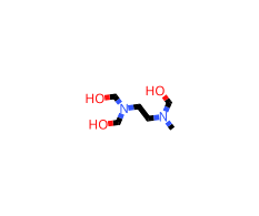 CN(CO)CCN(CO)CO